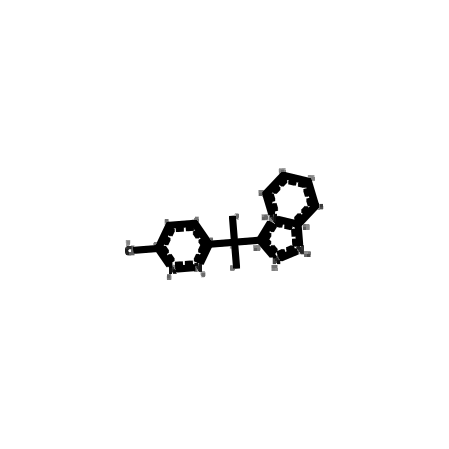 CC(C)(c1ccc(Cl)nn1)c1nnc2ccccn12